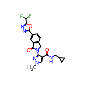 Cn1cc(C(=O)NCC2CC2)c(N2Cc3ccc(-c4nnc(C(F)F)o4)cc3C2=O)n1